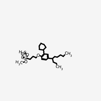 CCCCCC(CCC)c1ccc(OCCC[Si](OC)(OC)OC)c(C2CCCCC2)c1